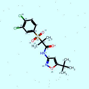 CC(C)(C)c1cc(NC(=O)C(C)(C)S(=O)(=O)c2ccc(Cl)c(Cl)c2)no1